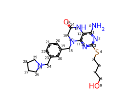 Nc1nc(SCCCCO)nc2c1NC(=O)CN2Cc1cccc(CN2CCCC2)c1